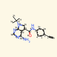 C#Cc1ccc(NC(=O)c2cn(C(C)(C)C)c3ncnc(N)c23)cc1